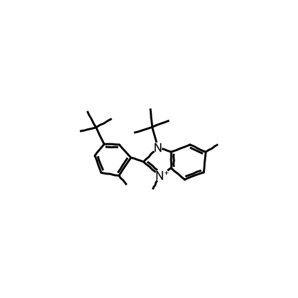 Cc1ccc2c(c1)n(C(C)(C)C)c(-c1cc(C(C)(C)C)ccc1C)[n+]2C